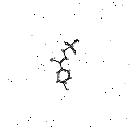 CCCS(=O)(=O)O/N=C(\Cl)c1ccc(C)cc1